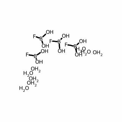 O.O.O.O.O.O.O.O.OB(O)F.OB(O)F.OB(O)F.OB(O)F